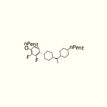 CCCCCOc1ccc([C@H]2CC[C@H](C(C)C3CCC(CCCCC)CC3)CC2)c(F)c1F